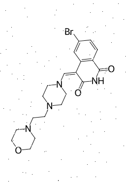 O=C1NC(=O)c2ccc(Br)cc2C1=CN1CCN(CCN2CCOCC2)CC1